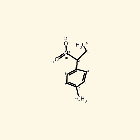 CCC(c1ccc(C)cc1)[N+](=O)[O-]